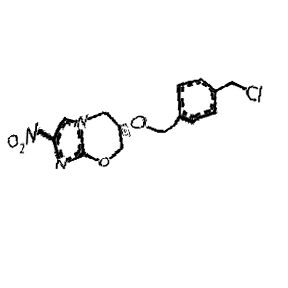 O=[N+]([O-])c1cn2c(n1)OC[C@@H](OCc1ccc(CCl)cc1)C2